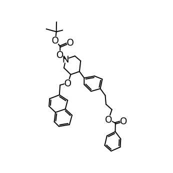 CC(C)(C)OC(=O)ON1CCC(c2ccc(CCCOC(=O)c3ccccc3)cc2)C(OCc2ccc3ccccc3c2)C1